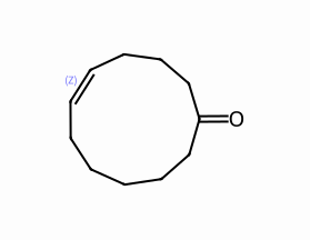 O=C1CCC/C=C\CCCCC1